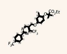 CCOC(=O)C(C)(C)Oc1ccc(OCc2cnc(-c3ccc(C(F)(F)F)cc3)nc2C(F)(F)F)cc1C